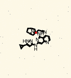 N#CCCN1C2CCC1CC(Nc1nc(Nc3cc(C4CC4)[nH]n3)cc3ncccc13)C2